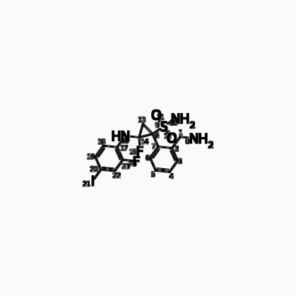 NCc1ccccc1C1(S(N)(=O)=O)CC1(F)Nc1ccc(I)cc1F